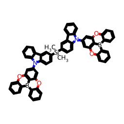 C[Si](C)(c1ccc2c(c1)c1ccccc1n2-c1cc2c3c(c1)Oc1ccccc1B3c1ccccc1O2)c1ccc2c(c1)c1ccccc1n2-c1cc2c3c(c1)Oc1ccccc1B3c1ccccc1O2